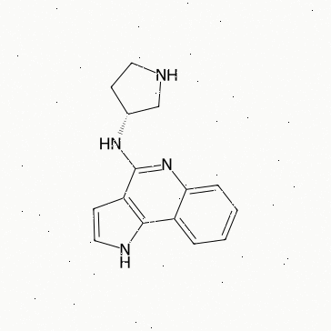 c1ccc2c(c1)nc(N[C@@H]1CCNC1)c1cc[nH]c12